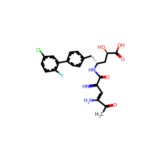 CC(=O)/C(N)=C/C(=N)C(=O)N[C@H](Cc1ccc(-c2cc(Cl)ccc2F)cc1)C[C@@H](O)C(=O)O